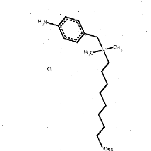 CCCCCCCCCCCCCCCCCC[N+](C)(C)Cc1ccc(N)cc1.[Cl-]